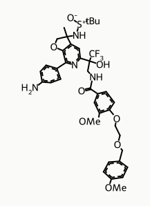 COc1ccc(COCCOc2ccc(C(=O)NCC(O)(c3cc4c(c(-c5ccc(N)cc5)n3)OCC4(C)N[S+]([O-])C(C)(C)C)C(F)(F)F)cc2OC)cc1